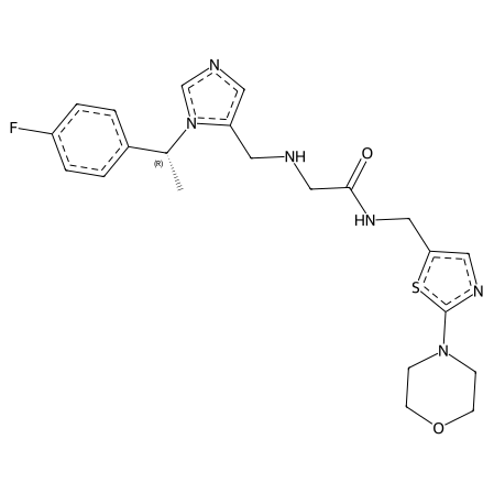 C[C@H](c1ccc(F)cc1)n1cncc1CNCC(=O)NCc1cnc(N2CCOCC2)s1